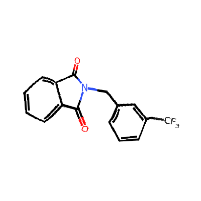 O=C1c2ccccc2C(=O)N1Cc1cccc(C(F)(F)F)c1